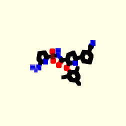 Cc1cc(C)c(Oc2nc(-c3cccc(C#N)c3)ccc2C(=O)NS(=O)(=O)c2cccc(N)n2)c(C)c1